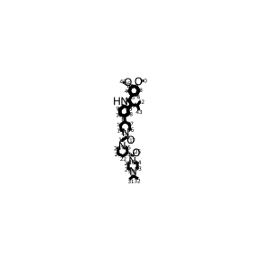 COc1ccc(-c2[nH]c3ccc(C4CCN(C(=O)CN5CCC[C@@H](C(=O)N6CCN(C(C)C)CC6)C5)CC4)cc3c2C(C)C)cc1OC